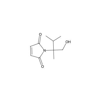 CC(C)C(C)(CO)N1C(=O)C=CC1=O